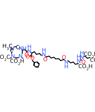 CN1CCNC(CC(=O)NC(CCCCNC(=O)CCCCCCC(=O)NCCCC[C@H](NC(=O)N[C@@H](CCC(=O)O)C(=O)O)C(=O)O)C(=O)OCc2ccccc2)CN(CC(=O)O)CCN(CC(=O)O)CC1